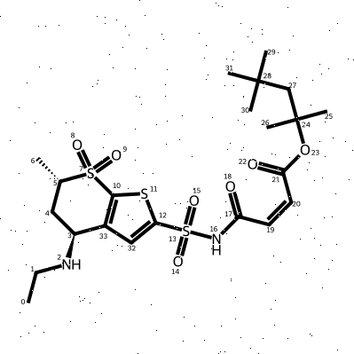 CCN[C@H]1C[C@H](C)S(=O)(=O)c2sc(S(=O)(=O)NC(=O)/C=C\C(=O)OC(C)(C)CC(C)(C)C)cc21